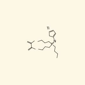 C=C(C)C(=C)C.CCCCP(CCCC)(CCCC)=NC1=CC=CC1.[Ti]